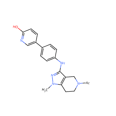 CC(=O)N1CCc2c(c(Nc3ccc(-c4ccc(O)nc4)cc3)nn2C)C1